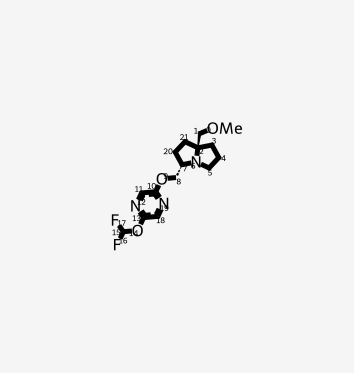 COC[C@@]12CCCN1[C@H](COc1cnc(OC(F)F)cn1)CC2